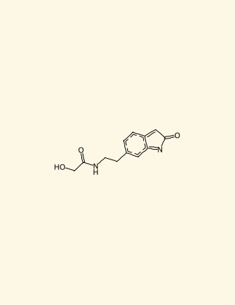 O=C1C=c2ccc(CCNC(=O)CO)cc2=N1